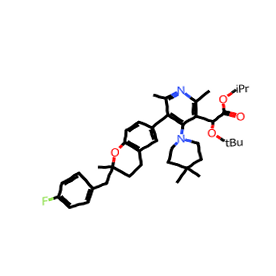 Cc1nc(C)c(C(OC(C)(C)C)C(=O)OC(C)C)c(N2CCC(C)(C)CC2)c1-c1ccc2c(c1)CCC(C)(Cc1ccc(F)cc1)O2